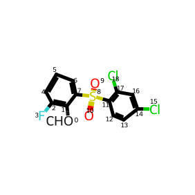 O=Cc1c(F)cccc1S(=O)(=O)c1ccc(Cl)cc1Cl